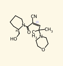 CC(C)(/C=C(/C#N)C(=O)N1CCCC[C@@H]1CO)N1CCOCC1